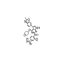 CN[S+]([O-])c1ccc(Nc2nc(OC3CCOCC3)c3c(-c4ccc5nc(C)oc5c4)c[nH]c3n2)c(OC)c1